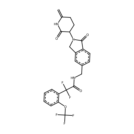 C=C1CCC(N2Cc3cc(CNC(=O)C(F)(F)c4ccccc4OC(F)(F)F)ccc3C2=O)C(=O)N1